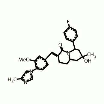 COc1cc(/C=C2\CCC3CC(C)(O)CC(c4ccc(F)cc4)N3C2=O)ccc1-n1cnc(C)c1